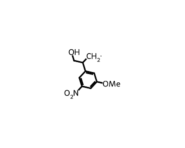 [CH2]C(CO)c1cc(OC)cc([N+](=O)[O-])c1